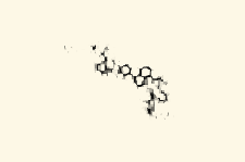 COC(=O)NC(C(=O)N1CCC[C@H]1c1nc2ccc(-c3cccc4c(-c5cnc([C@@H]6CCCN6C(=O)[C@@H](NC(=O)OC)C(C)C)[nH]5)cccc34)cc2[nH]1)C(C)C